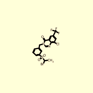 CC(Br)S(=O)(=O)c1cccc(Cn2cnc3c(Cl)cc(C(F)(F)F)cc3c2=O)c1